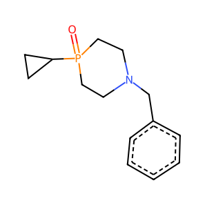 O=P1(C2CC2)CCN(Cc2ccccc2)CC1